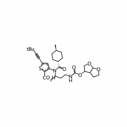 CC(CCNC(=O)OC1COC2OCCC12)N(c1cc(C#CC(C)(C)C)sc1C(=O)O)C(=O)[C@H]1CC[C@H](C)CC1